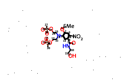 CSOc1cc([N+](=O)[O-])c(C(=O)NCCO)cc1N(CCOS(C)(=O)=O)CCOS(C)(=O)=O